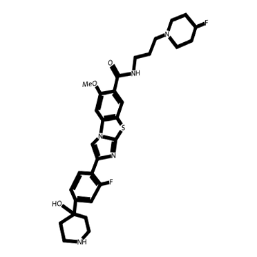 COc1cc2c(cc1C(=O)NCCCN1CCC(F)CC1)sc1nc(-c3ccc(C4(O)CCNCC4)cc3F)cn12